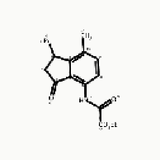 CCCC1CC(=O)c2c(NC(=O)C(=O)OCC)ccc(C)c21